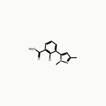 COC(=O)c1cccc(-c2cc(C)nn2C)c1Cl